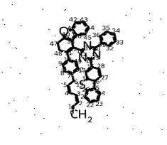 C=C/C=C\C=C/Cc1ccc(C2=C(c3nc(C4=CC5Sc6ccccc6C5C=C4)nc(-c4ccccc4)n3)c3c(oc4ccccc34)CC2)cc1